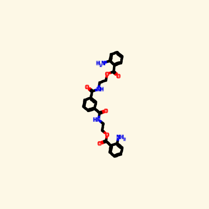 Nc1ccccc1C(=O)OCCNC(=O)c1cccc(C(=O)NCCOC(=O)c2ccccc2N)c1